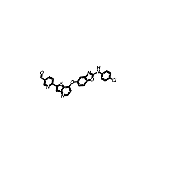 O=Cc1ccc(-c2cc3nccc(Oc4ccc5oc(Nc6ccc(Cl)cc6)nc5c4)c3s2)nc1